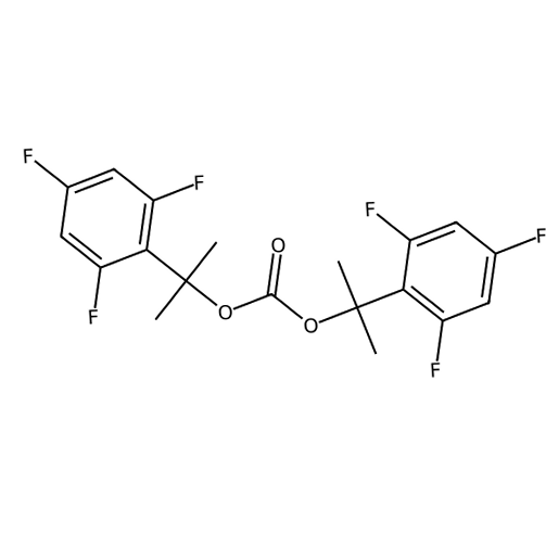 CC(C)(OC(=O)OC(C)(C)c1c(F)cc(F)cc1F)c1c(F)cc(F)cc1F